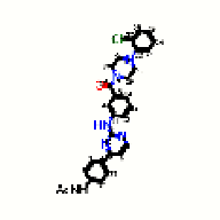 CC(=O)Nc1ccc(-c2ccnc(Nc3cccc(C(=O)N4CCN(c5ccccc5Cl)CC4)c3)n2)cc1